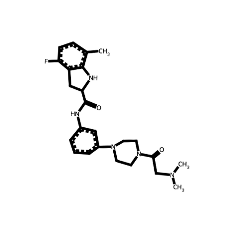 Cc1ccc(F)c2c1NC(C(=O)Nc1cccc(N3CCN(C(=O)CN(C)C)CC3)c1)C2